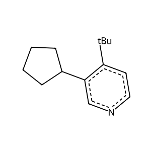 CC(C)(C)c1ccncc1C1CCCC1